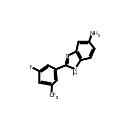 Nc1ccc2[nH]c(-c3cc(F)cc(C(F)(F)F)c3)nc2c1